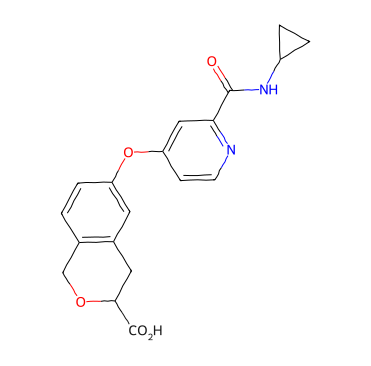 O=C(NC1CC1)c1cc(Oc2ccc3c(c2)CC(C(=O)O)OC3)ccn1